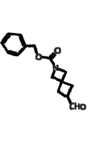 O=CC1CC2(C1)CN(C(=O)OCc1ccccc1)C2